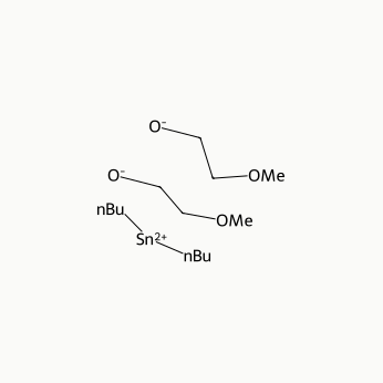 CCC[CH2][Sn+2][CH2]CCC.COCC[O-].COCC[O-]